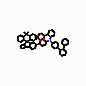 CC1(C)c2ccccc2C2(c3ccccc3-c3ccc(-c4ccc(N(c5ccc(-c6ccccc6-c6ccccc6)cc5)c5ccccc5-c5ccccc5)cc4)cc32)c2ccccc21